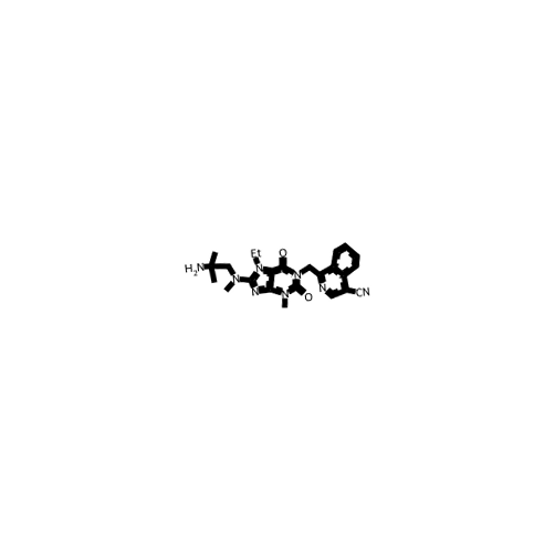 CCn1c(N(C)CC(C)(C)N)nc2c1c(=O)n(Cc1ncc(C#N)c3ccccc13)c(=O)n2C